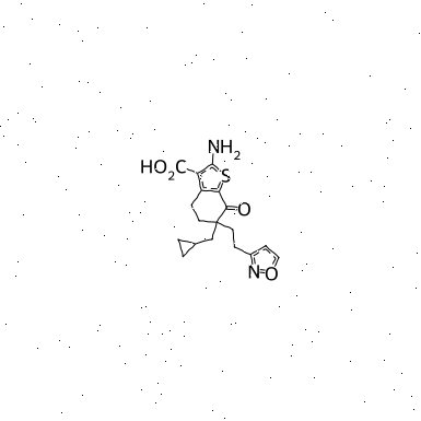 Nc1sc2c(c1C(=O)O)CCC(CCc1ccon1)(CC1CC1)C2=O